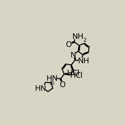 Cl.Cl.NC(=O)c1cccc2[nH]c(-c3ccc(C(=O)N[C@H]4CCNC4)cc3)nc12